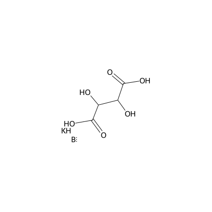 O=C(O)C(O)C(O)C(=O)O.[B].[KH]